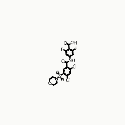 O=C(Nc1cc(F)c(C(=O)O)c(F)c1)c1cc(S(=O)(=O)N2CCOCC2)c(Cl)cc1Cl